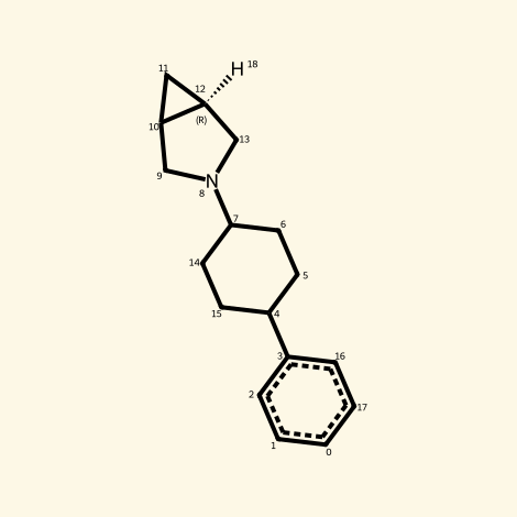 c1ccc(C2CCC(N3CC4C[C@H]4C3)CC2)cc1